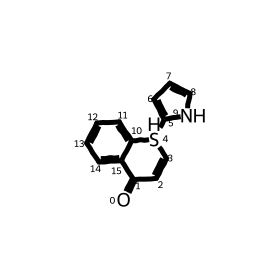 O=C1C=C[SH](c2ccc[nH]2)c2ccccc21